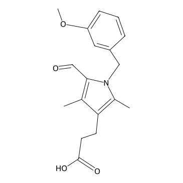 COc1cccc(Cn2c(C)c(CCC(=O)O)c(C)c2C=O)c1